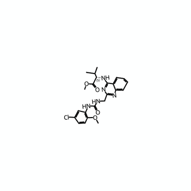 COC(=O)[C@@H](Nc1nc(CNC(=O)Nc2cc(Cl)ccc2OC)nc2ccccc12)C(C)C